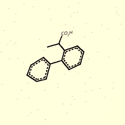 CC(C(=O)O)c1ccccc1-c1ccccc1